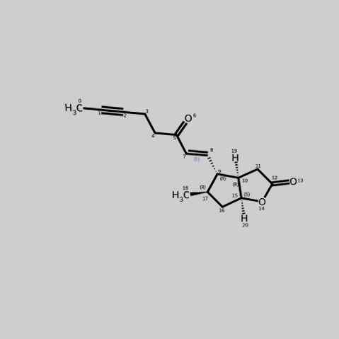 CC#CCCC(=O)/C=C/[C@@H]1[C@H]2CC(=O)O[C@H]2C[C@H]1C